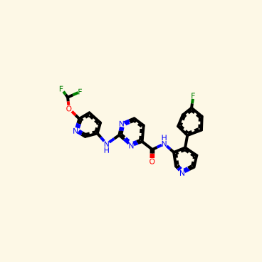 O=C(Nc1cnccc1-c1ccc(F)cc1)c1ccnc(Nc2ccc(OC(F)F)nc2)n1